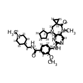 COc1cc(C(=O)NCC2CCN(C)CC2)ccc1Nc1ncc2c(n1)N(C1CCCC1)CC1(CC1)C(=O)N2C